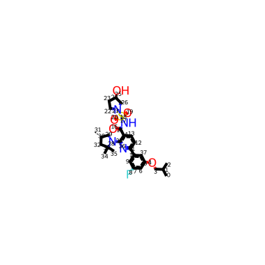 CC(C)COc1cc(F)cc(-c2ccc(C(=O)NS(=O)(=O)N3CC[C@@H](O)C3)c(N3C[C@@H](C)CC3(C)C)n2)c1